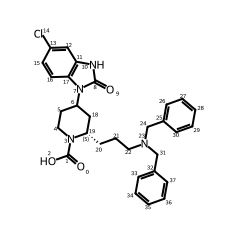 O=C(O)N1CCC(n2c(=O)[nH]c3cc(Cl)ccc32)C[C@@H]1CCCN(Cc1ccccc1)Cc1ccccc1